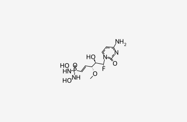 CO[C@H](/C=C/P(=O)(NO)NO)[C@@H](O)[C@@H](F)n1ccc(N)nc1=O